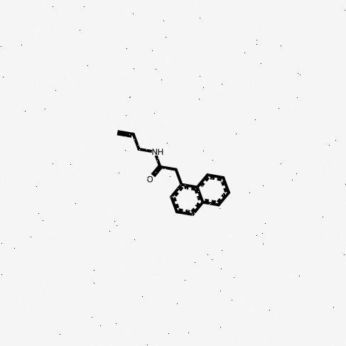 C=CCNC(=O)Cc1cccc2ccccc12